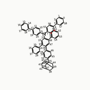 c1ccc(-c2ccc(N(c3ccc(-c4ccccc4)cc3)c3cc(-c4ccccc4)c(-c4ccc(C56CC7CC(CC(C7)C5)C6)cc4)cc3-c3ccccc3)cc2)cc1